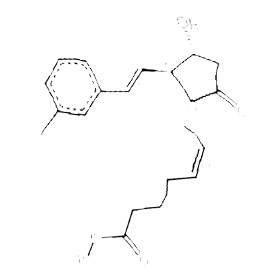 Cc1cccc(/C=C/[C@H]2[C@H](O)CC(=O)[C@@H]2C/C=C\CCCC(=O)OC(C)C)c1